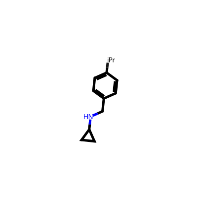 CC(C)c1ccc(CNC2CC2)cc1